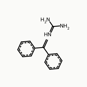 C=C(c1ccccc1)c1ccccc1.N=C(N)N